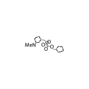 CNc1cccc(CS(=O)(=O)C(=O)OCc2ccccc2)c1